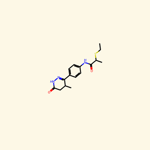 CCSC(C)C(=O)Nc1ccc(C2=NNC(=O)CC2C)cc1